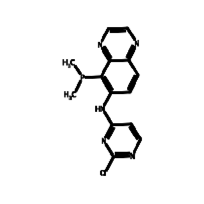 CP(C)c1c(Nc2ccnc(Cl)n2)ccc2nccnc12